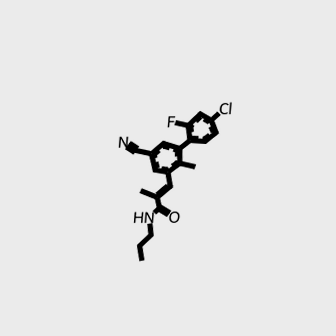 CCCNC(=O)/C(C)=C/c1cc(C#N)cc(-c2ccc(Cl)cc2F)c1C